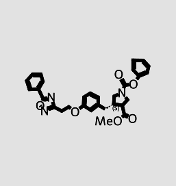 COC(=O)C1CN(C(=O)Oc2ccccc2)C[C@H]1Cc1cccc(OCCc2noc(-c3ccccc3)n2)c1